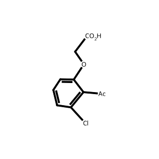 CC(=O)c1c(Cl)cccc1OCC(=O)O